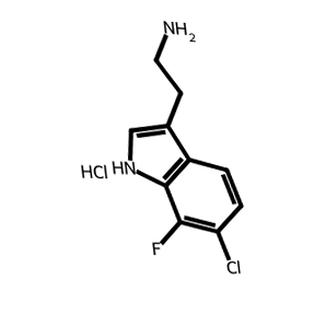 Cl.NCCc1c[nH]c2c(F)c(Cl)ccc12